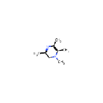 CC1=NC(C)=C(C)N(C)C1